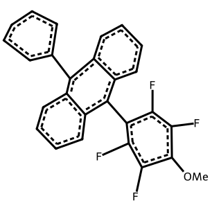 COc1c(F)c(F)c(-c2c3ccccc3c(-c3ccccc3)c3ccccc23)c(F)c1F